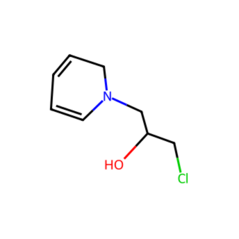 OC(CCl)CN1C=CC=CC1